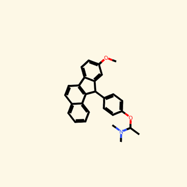 COc1ccc2c(c1)C(c1ccc(OC(C)N(C)C)cc1)c1c-2ccc2ccccc12